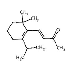 CC(=O)/C=C/C1=C(C(C)C)CCCC1(C)C